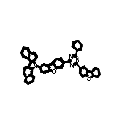 c1ccc(-c2nc(-c3ccc4c(c3)oc3ccc(-n5c6ccc7ccccc7c6c6ccc7ccccc7c65)cc34)nc(-c3ccc4oc5ccccc5c4c3)n2)cc1